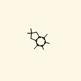 CCC1(C)Cc2c(C)c(Cl)c(C=O)c(C)c2C1